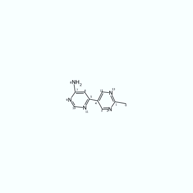 Cc1ncc(-c2cc(N)ncn2)cn1